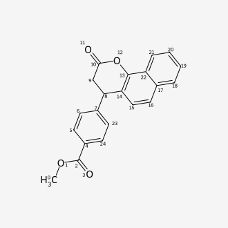 COC(=O)c1ccc(C2CC(=O)Oc3c2ccc2ccccc32)cc1